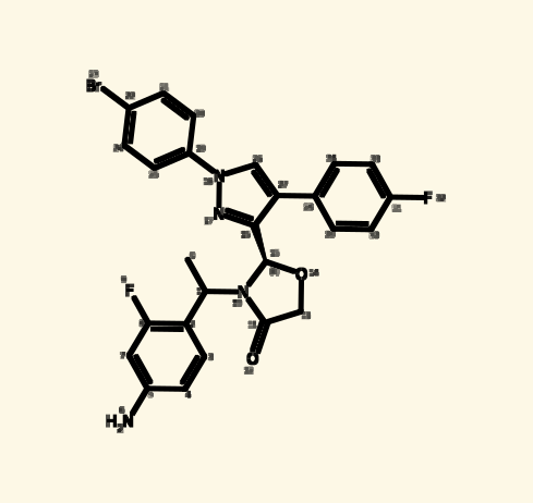 CC(c1ccc(N)cc1F)N1C(=O)CO[C@@H]1c1nn(-c2ccc(Br)cc2)cc1-c1ccc(F)cc1